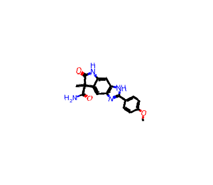 COc1ccc(-c2nc3cc4c(cc3[nH]2)NC(=O)C4(C)C(N)=O)cc1